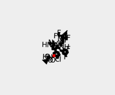 C[C@@H]1C2c3c(C(F)F)nn(CC(=O)N[C@@H](Cc4cc(F)cc(F)c4)c4nc5cn[nH]c5cc4-c4ccc(Cl)c(C(=O)NS(=O)(=O)C5CC5)c4)c3C(F)(F)C21